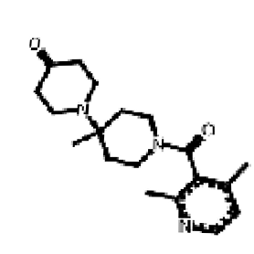 Cc1ccnc(C)c1C(=O)N1CCC(C)(N2CCC(=O)CC2)CC1